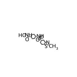 Cc1nc2cc(S(=O)(=O)Nc3ccc(C(=O)NO)cc3)ccc2s1